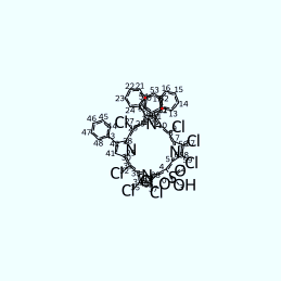 O=S(=O)(O)c1c2nc(c(Cl)c3c(-c4ccccc4)c(-c4ccccc4)c(c(Cl)c4nc(c(Cl)c5c(Cl)c(Cl)c1n5Cl)C=C4c1ccccc1)n3-c1ccccc1)C(Cl)=C2Cl